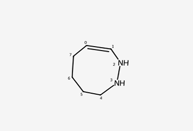 C1=C\NNCCCC/1